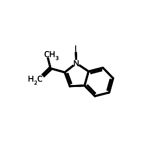 C=C(C)c1cc2ccccc2n1I